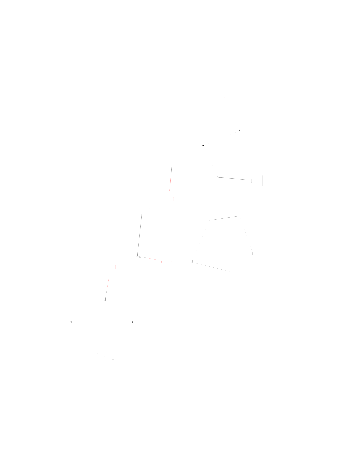 CCC1(COCC(OC2CCCC2)OC2CCCC2)COC1